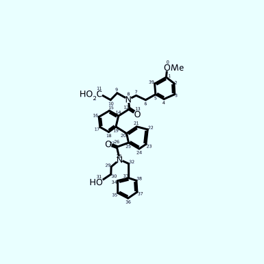 COc1cccc(CCN(CCC(=O)O)C(=O)c2ccccc2-c2ccccc2C(=O)N(CCO)Cc2ccccc2)c1